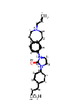 C=CCN1CCc2ccc(N3CCN(C4CCC(CCC(=O)O)CC4)C3=O)cc2CC1